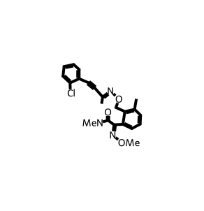 CNC(=O)/C(=N/OC)c1cccc(C)c1CO/N=C(\C)C#Cc1ccccc1Cl